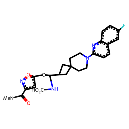 CNC(=O)c1cc(CC(NC(=O)O)C2CC3(CCN(c4ccc5cc(F)ccc5n4)CC3)C2)on1